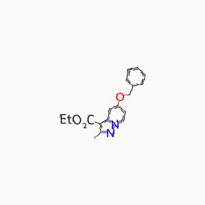 CCOC(=O)c1c(C)nn2ccc(OCc3ccccc3)cc12